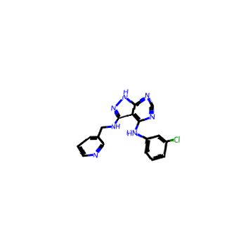 Clc1cccc(Nc2ncnc3[nH]nc(NCc4cccnc4)c23)c1